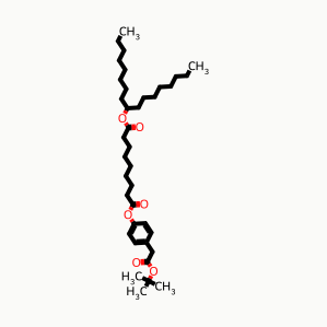 CCCCCCCCC(CCCCCCCC)OC(=O)CCCCCCCC(=O)Oc1ccc(CC(=O)OC(C)(C)C)cc1